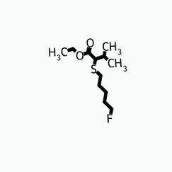 CCOC(=O)C(SCCCCCF)C(C)C